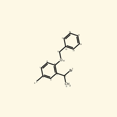 CC(Br)c1cc(I)ccc1OCc1ccccc1